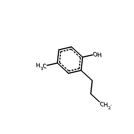 [CH2]CCc1cc(C)ccc1O